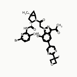 CC(=O)c1nn(CC(=O)N2C3C[C@]3(C)C[C@H]2C(=O)Nc2nc(Br)ccc2C)c2c(C)cc(-c3cnc(C4(F)COC4)nc3)cc12